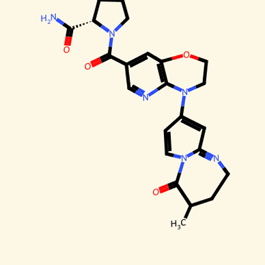 CC1CCN=C2C=C(N3CCOc4cc(C(=O)N5CCC[C@H]5C(N)=O)cnc43)C=CN2C1=O